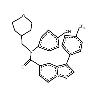 N#Cc1ccc(N(CC2CCOCC2)C(=O)c2ccn3ncc(-c4ccc(C(F)(F)F)cc4)c3c2)cc1